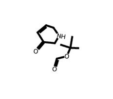 CC(C)(C)OC=O.O=C1C=CCNC1